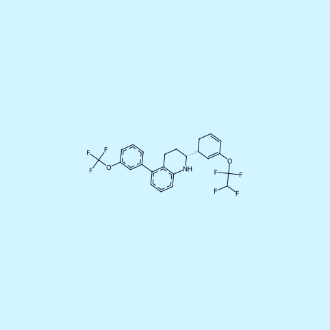 FC(F)C(F)(F)OC1=CC([C@H]2CCc3c(cccc3-c3cccc(OC(F)(F)F)c3)N2)CC=C1